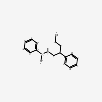 [O-][S+](NCC(CCO)c1ccccc1)c1ccccc1